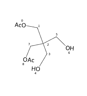 CC(=O)OCC(CO)(CO)COC(C)=O